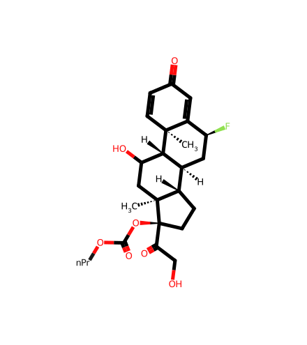 CCCOC(=O)O[C@]1(C(=O)CO)CC[C@H]2[C@@H]3C[C@H](F)C4=CC(=O)C=C[C@]4(C)[C@H]3C(O)C[C@@]21C